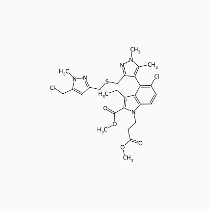 CCc1c(C(=O)OC)n(CCC(=O)OC)c2ccc(Cl)c(-c3c(CSCc4cc(CCl)n(C)n4)nn(C)c3C)c12